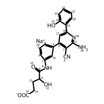 N#Cc1c(-c2cccc(NC(=O)C(O)CCC(=O)[O-])c2)cc(-c2ccccc2O)nc1N.[Na+]